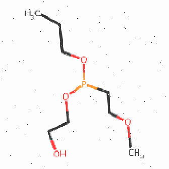 CCCOP(CCOC)OCCO